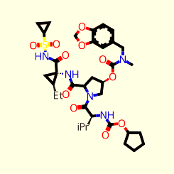 CC[C@H]1C[C@@]1(NC(=O)C1C[C@@H](OC(=O)N(C)Cc2ccc3c(c2)OCO3)CN1C(=O)[C@@H](NC(=O)OC1CCCC1)C(C)C)C(=O)NS(=O)(=O)C1CC1